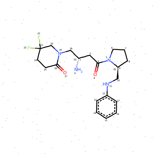 N[C@@H](CC(=O)N1CCC[C@H]1CNc1ccccc1)CN1CC(F)(F)CCC1=O